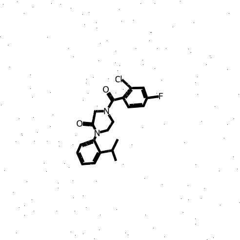 CC(C)c1ccccc1N1CCN(C(=O)c2ccc(F)cc2Cl)CC1=O